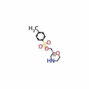 Cc1ccc(S(=O)(=O)OC[C@@H]2CNCCO2)cc1